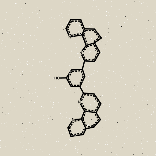 Oc1cc(-c2ccc3ccc4cccnc4c3n2)cc(-c2ccc3ccc4cccnc4c3n2)c1